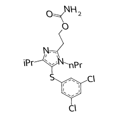 CCCn1c(CCOC(N)=O)nc(C(C)C)c1Sc1cc(Cl)cc(Cl)c1